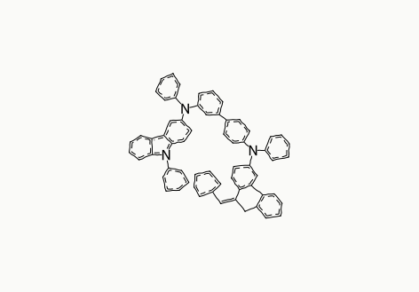 C(=C1\Cc2ccccc2-c2cc(N(c3ccccc3)c3ccc(-c4cccc(N(c5ccccc5)c5ccc6c(c5)c5ccccc5n6-c5ccccc5)c4)cc3)ccc21)/c1ccccc1